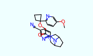 COc1ccc(C2(OCC(=O)N3CC4CCC(C3)N4c3ccc(C#N)cn3)CCC2)nc1